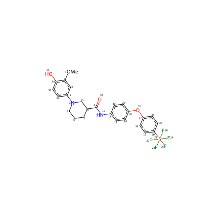 COc1cc(N2CCCC(C(=O)Nc3ccc(Oc4ccc(S(F)(F)(F)(F)F)cc4)cc3)C2)ccc1O